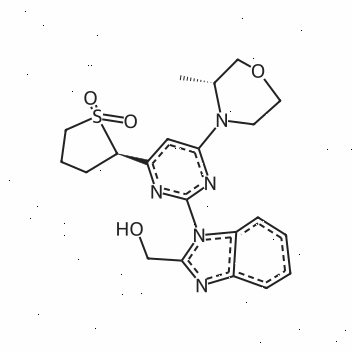 C[C@@H]1COCCN1c1cc([C@H]2CCCS2(=O)=O)nc(-n2c(CO)nc3ccccc32)n1